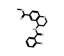 COC(=O)c1ccc2c(c1)C(NC(=O)c1ccccc1Cl)CCO2